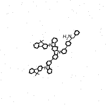 CC1(C)c2ccccc2-c2ccc(-n3c4ccccc4c4cc(-c5ccc6c(c5)c5cc7c(cc5n6-c5cccc(-c6ccc(C(N)Cc8ccccc8)cc6)c5)c5ccccc5n7-c5ccc6c(c5)C(C)(C)c5ccccc5-6)ccc43)cc21